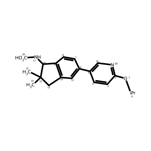 CC(C)Oc1ccc(-c2ccc3c(c2)CC(C)(C)C3NC(=O)O)cn1